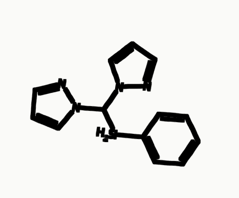 c1ccc([SiH2]C(n2cccn2)n2cccn2)cc1